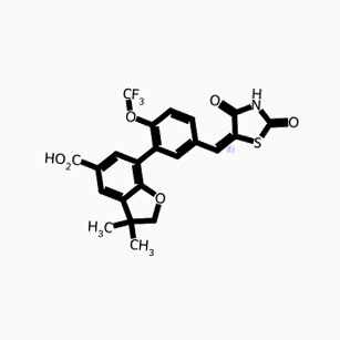 CC1(C)COc2c(-c3cc(/C=C4/SC(=O)NC4=O)ccc3OC(F)(F)F)cc(C(=O)O)cc21